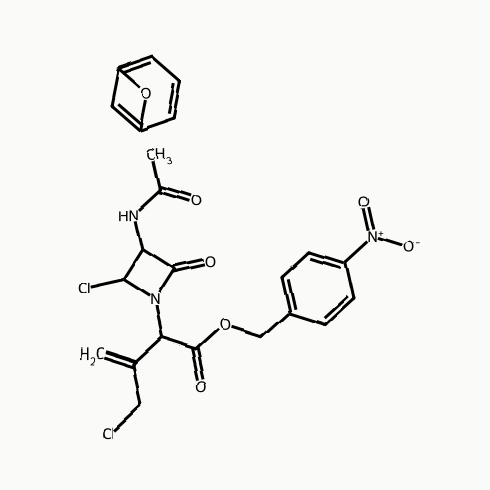 C=C(CCl)C(C(=O)OCc1ccc([N+](=O)[O-])cc1)N1C(=O)C(NC(C)=O)C1Cl.c1cc2cc(c1)O2